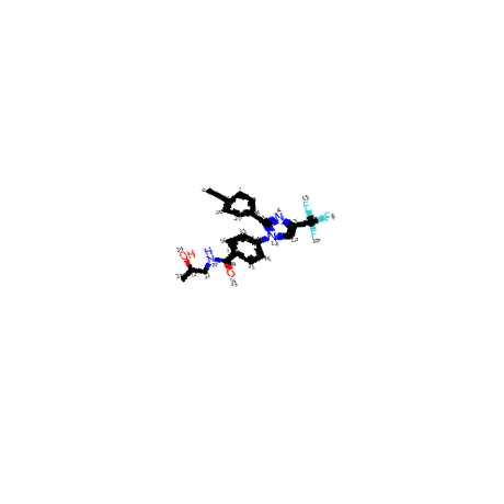 Cc1ccc(-c2nc(C(F)(F)F)cn2-c2ccc(C(=O)NCC(C)O)cc2)cc1